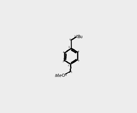 COCc1ccc(CC(C)(C)C)cc1